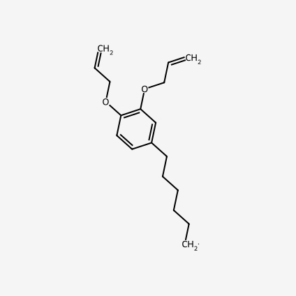 [CH2]CCCCCc1ccc(OCC=C)c(OCC=C)c1